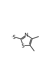 Cc1nc([S])sc1C